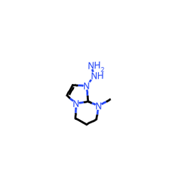 CN1CCCN2C=CN(NN)C12